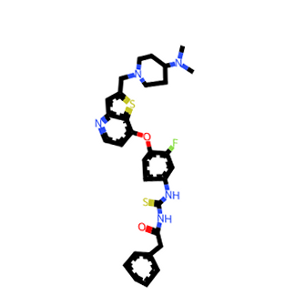 CN(C)C1CCN(Cc2cc3nccc(Oc4ccc(NC(=S)NC(=O)Cc5ccccc5)cc4F)c3s2)CC1